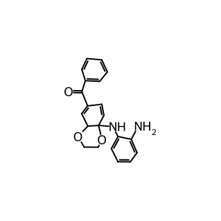 Nc1ccccc1NC12C=CC(C(=O)c3ccccc3)=CC1OCCO2